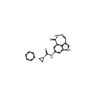 O=C1NN=Cc2c[nH]c3cc(NC(=O)[C@H]4C[C@@H]4c4ccccc4)cc1c23